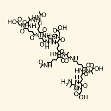 CC(=O)NCCCCC(NC(=O)CCC(NC(=O)C(C)NC(=O)C(C)NC(=O)C(CCCCNC(C)=O)NC(=O)CCC(NC(=O)C(C)N)C(=O)NCC(=O)O)C(=O)NCC(=O)O)C(=O)NC(C)C(=O)NCCCCC(NC(=O)CCC(NC(=O)C(C)N)C(=O)NCC(=O)O)C(=O)NC(C)C(=O)O